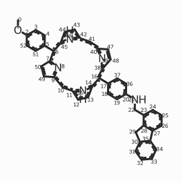 COc1ccc(-c2c3nc(cc4ccc([nH]4)c(-c4ccc(NCc5cccc6c5Cc5ccccc5-6)cc4)c4nc(cc5ccc2[nH]5)C=C4)C=C3)cc1